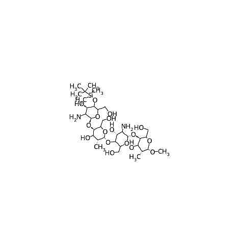 CO[C@H]1OC(CO)[C@H](O[C@@H]2OC(CO)C(O[C@H]3OC(CO)[C@H](O[C@@H]4OC(CO)C(O[Si](C)(C)C(C)(C)C)[C@H](O)C4N)C(O)[C@H]3C)[C@H](O)C2N)C(O)[C@H]1C